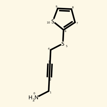 NCC#CCSc1cccs1